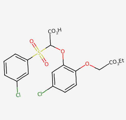 CCOC(=O)COc1ccc(Cl)cc1OC(C(=O)O)S(=O)(=O)c1cccc(Cl)c1